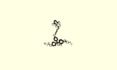 COc1ccc(C(O)(c2ccc(OC)cc2)c2ccc(OCCCCCC(=O)ON3C(=O)CCC3=O)cc2)cc1